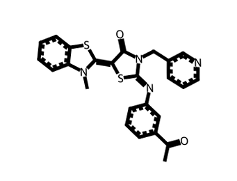 CC(=O)c1cccc(N=C2SC(=C3Sc4ccccc4N3C)C(=O)N2Cc2cccnc2)c1